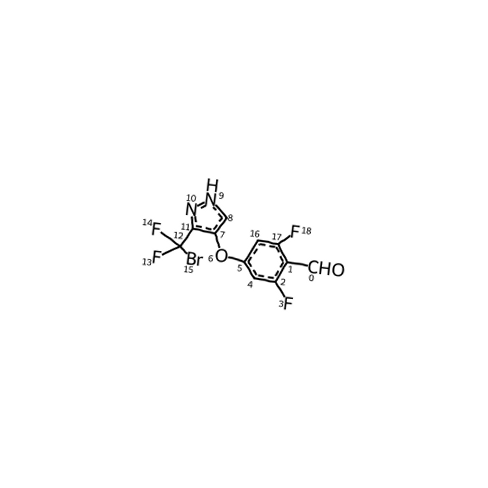 O=Cc1c(F)cc(Oc2c[nH]nc2C(F)(F)Br)cc1F